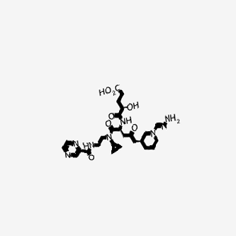 NN=CN1CCC[C@@H](CC(=O)C[C@H](NC(=O)[C@@H](O)CCC(=O)O)C(=O)N(CCNC(=O)c2cnccn2)C2CC2)C1